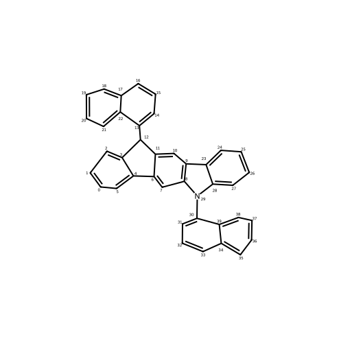 c1ccc2c(c1)-c1cc3c(cc1C2c1cccc2ccccc12)c1ccccc1n3-c1cccc2ccccc12